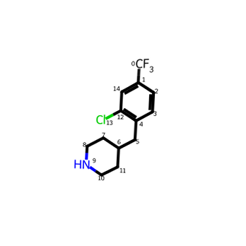 FC(F)(F)c1ccc(CC2CCNCC2)c(Cl)c1